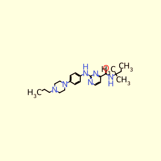 CCCN1CCN(c2ccc(Nc3nccc(C(=O)NC(C)(C)CC)n3)cc2)CC1